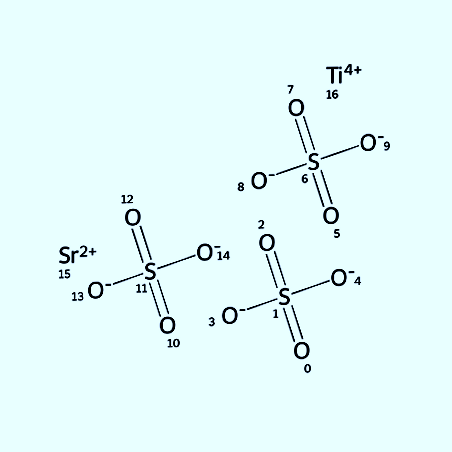 O=S(=O)([O-])[O-].O=S(=O)([O-])[O-].O=S(=O)([O-])[O-].[Sr+2].[Ti+4]